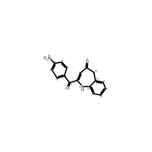 O=C1C=C(C(=O)c2ccc([N+](=O)[O-])cc2)Nc2ccccc2C1